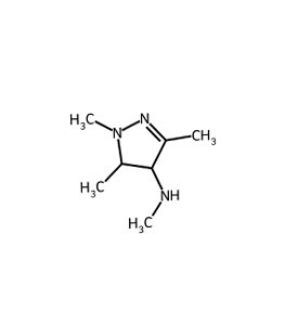 CNC1C(C)=NN(C)C1C